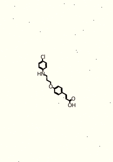 O=C(O)/C=C/c1ccc(OCCCNc2ccc(Cl)cc2)cc1